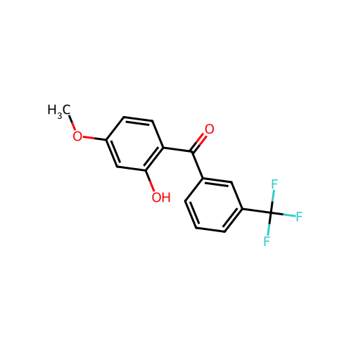 COc1ccc(C(=O)c2cccc(C(F)(F)F)c2)c(O)c1